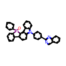 O=P1(c2ccccc2)c2ccccc2-c2ccc3c(c21)c1ccccc1n3-c1ccc(-c2ncc3ccccc3n2)cc1